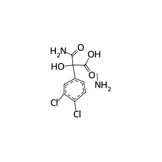 CN.NC(=O)C(O)(C(=O)O)c1ccc(Cl)c(Cl)c1